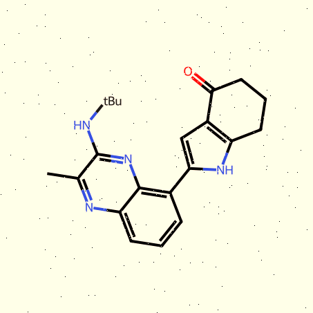 Cc1nc2cccc(-c3cc4c([nH]3)CCCC4=O)c2nc1NC(C)(C)C